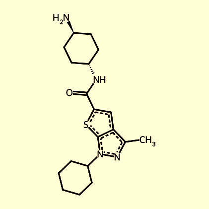 Cc1nn(C2CCCCC2)c2sc(C(=O)N[C@H]3CC[C@H](N)CC3)cc12